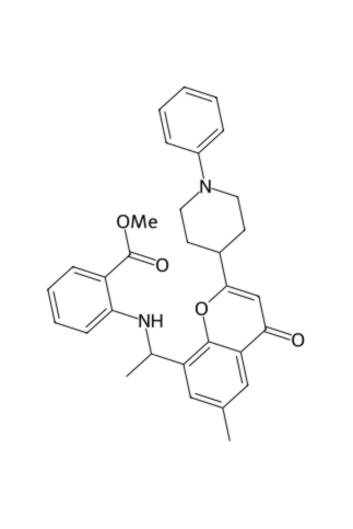 COC(=O)c1ccccc1NC(C)c1cc(C)cc2c(=O)cc(C3CCN(c4ccccc4)CC3)oc12